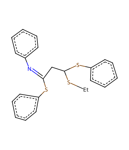 CCSC(CC(=Nc1ccccc1)Sc1ccccc1)Sc1ccccc1